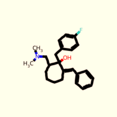 CN(C)CC1CCCCC(=Cc2ccccc2)C1(O)Cc1ccc(F)cc1